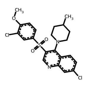 COc1ccc(S(=O)(=O)c2cnc3cc(Cl)ccc3c2N2CCC(C)CC2)cc1Cl